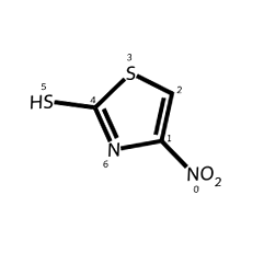 O=[N+]([O-])c1csc(S)n1